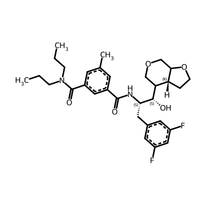 CCCN(CCC)C(=O)c1cc(C)cc(C(=O)N[C@@H](Cc2cc(F)cc(F)c2)[C@@H](O)C2COCC3OCC[C@@H]32)c1